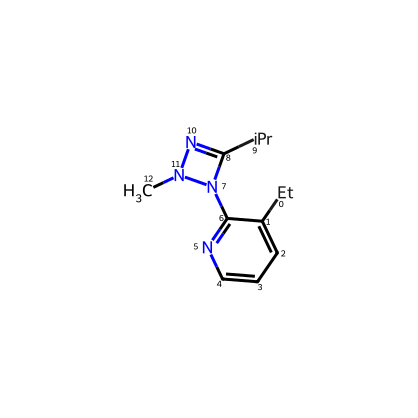 CCc1cccnc1-n1c(C(C)C)nn1C